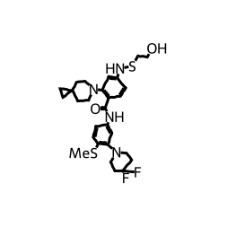 CSc1ccc(NC(=O)c2ccc(NSCCO)cc2N2CCC3(CC2)CC3)cc1N1CCC(F)(F)CC1